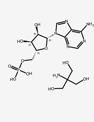 NC(CO)(CO)CO.Nc1ncnc2c1ncn2[C@@H]1O[C@H](COP(=O)(O)O)[C@@H](O)[C@H]1O